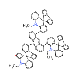 CCN1c2ccccc2C2(c3ccccc3-c3c(-c4c5cccc(-c6cccc7c6N(CC)c6ccccc6C76c7ccccc7-c7ccccc76)c5cc5c(-c6cccc7c6N(CC)c6ccccc6C76c7ccccc7-c7ccccc76)cccc45)cccc32)c2ccccc21